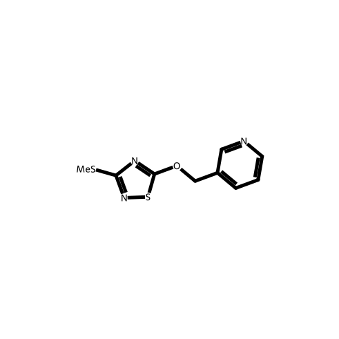 CSc1nsc(OCc2cccnc2)n1